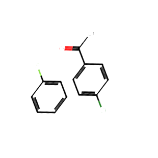 CCC(=O)c1ccc(Cl)cc1.Fc1ccccc1